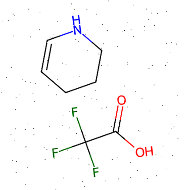 C1=CNCCC1.O=C(O)C(F)(F)F